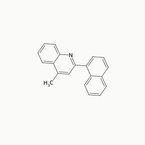 Cc1cc(-c2cccc3ccccc23)nc2ccccc12